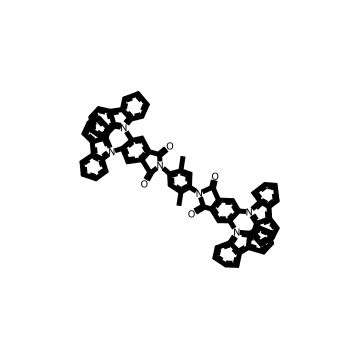 Cc1cc(N2C(=O)c3cc(-n4c5ccccc5c5ccccc54)c(-n4c5ccccc5c5ccccc54)cc3C2=O)c(C)cc1N1C(=O)c2cc(-n3c4ccccc4c4ccccc43)c(-n3c4ccccc4c4ccccc43)cc2C1=O